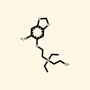 CC[N+](CC)(CCO)CCOc1cc2c(cc1N)OCO2